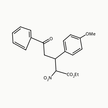 CCOC(=O)C(C(CC(=O)c1ccccc1)c1ccc(OC)cc1)[N+](=O)[O-]